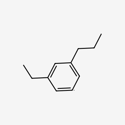 CCCc1c[c]cc(CC)c1